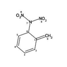 C=C1C=CC=CC1N([N+](=O)[O-])[N+](=O)[O-]